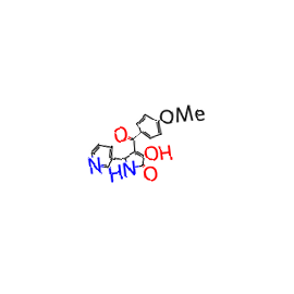 COc1ccc(C(=O)C2=C(O)C(=O)NC2c2cccnc2)cc1